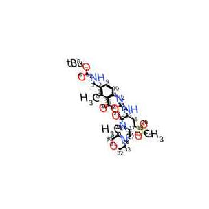 Cc1c(CNC(=O)OC(C)(C)C)ccc2nc(N[C@@H](CCS(C)(=O)=O)C(=O)N(C)CCN3CCOCC3)oc(=O)c12